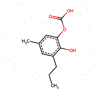 CCCc1cc(C)cc(OC(=O)O)c1O